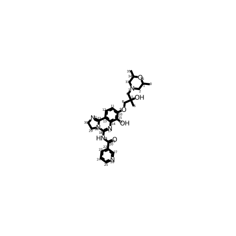 CC1CN(CC(C)(O)COc2ccc3c(c2O)N=C(NC(=O)c2cccnc2)N2CCN=C32)CC(C)O1